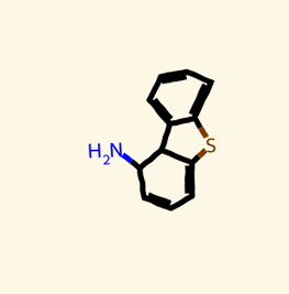 NC1C=CC=C2Sc3ccccc3C21